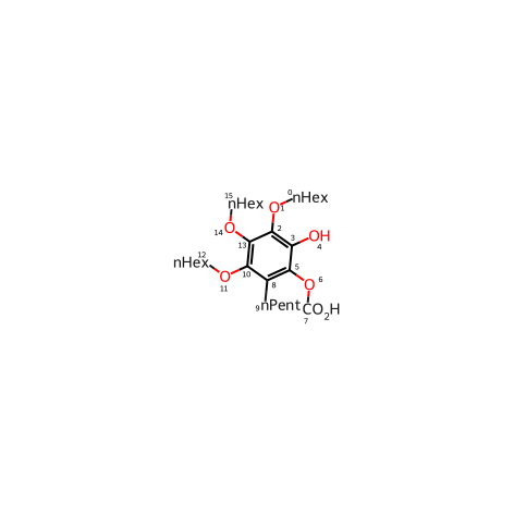 CCCCCCOc1c(O)c(OC(=O)O)c(CCCCC)c(OCCCCCC)c1OCCCCCC